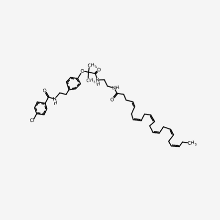 CC/C=C\C/C=C\C/C=C\C/C=C\C/C=C\C/C=C\CCC(=O)NCCNC(=O)C(C)(C)Oc1ccc(CCNC(=O)c2ccc(Cl)cc2)cc1